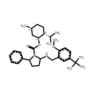 COc1ccc(C(C)(C)C)cc1CNC1CCC(c2ccccc2)N1C(=O)O[C@H]1C[C@@H](C)CC[C@@H]1C(C)C